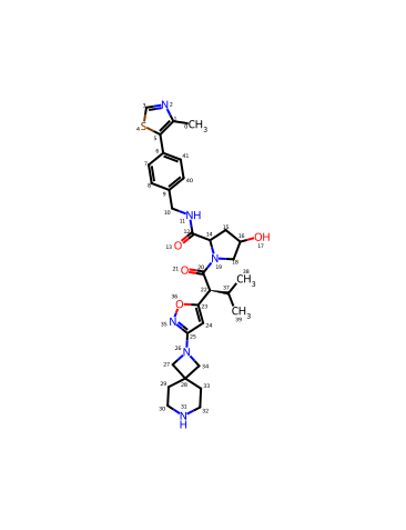 Cc1ncsc1-c1ccc(CNC(=O)C2CC(O)CN2C(=O)[C@H](c2cc(N3CC4(CCNCC4)C3)no2)C(C)C)cc1